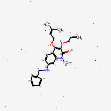 C=CCOc1c(OCC=C(C)C)c2ccc(NCc3ccccc3)cc2n(CCCCCCCC)c1=O